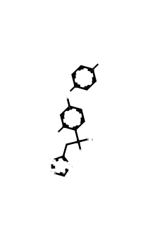 CCCC(O)(Cc1nc[nH]n1)c1ccc(Oc2ccc(Cl)cc2)cc1C(F)(F)F